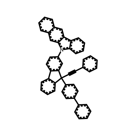 C(#CC1(c2ccc(-c3ccccc3)cc2)c2ccccc2-c2ccc(-n3c4ccccc4c4cc5ccccc5cc43)cc21)c1ccccc1